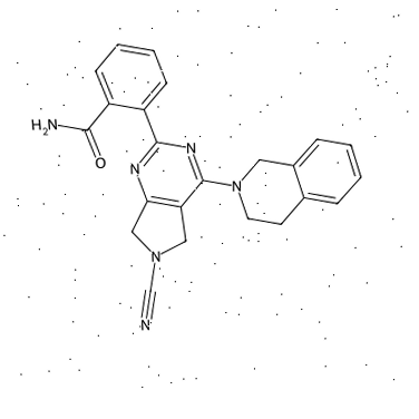 N#CN1Cc2nc(-c3ccccc3C(N)=O)nc(N3CCc4ccccc4C3)c2C1